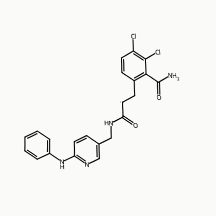 NC(=O)c1c(C[CH]C(=O)NCc2ccc(Nc3ccccc3)nc2)ccc(Cl)c1Cl